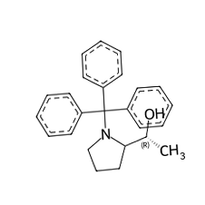 C[C@@H](O)C1CCCN1C(c1ccccc1)(c1ccccc1)c1ccccc1